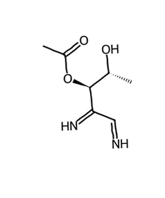 CC(=O)O[C@H](C(=N)C=N)[C@@H](C)O